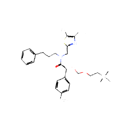 CCc1sc(CN(CCCc2ccccc2)C(=O)[C@H](OCOCC[Si](C)(C)C)c2ccc(OC)cc2)nc1C(=O)O